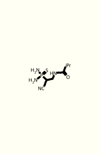 CC(C)C(=O)NCC(C#N)P(N)(N)=S